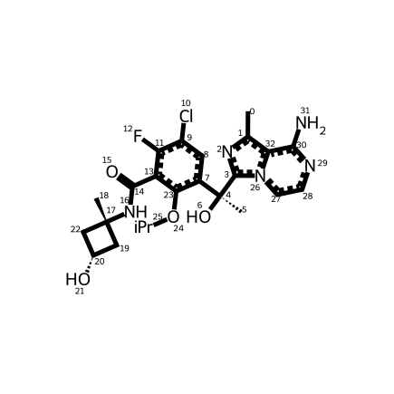 Cc1nc([C@@](C)(O)c2cc(Cl)c(F)c(C(=O)N[C@]3(C)C[C@H](O)C3)c2OC(C)C)n2ccnc(N)c12